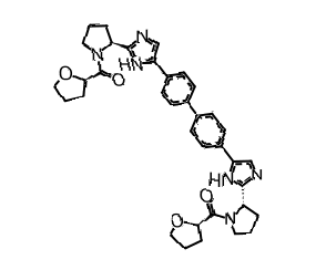 O=C([C@H]1CCCO1)N1CCC[C@H]1c1ncc(-c2ccc(-c3ccc(-c4cnc([C@@H]5CCCN5C(=O)[C@H]5CCCO5)[nH]4)cc3)cc2)[nH]1